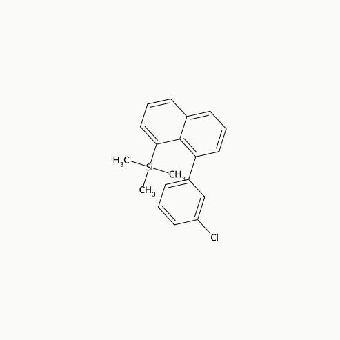 C[Si](C)(C)c1cccc2cccc(-c3cccc(Cl)c3)c12